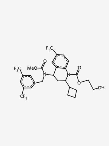 COC(=O)N(Cc1cc(C(F)(F)F)cc(C(F)(F)F)c1)C1CC(C2CCC2)N(C(=O)OCCO)c2ccc(C(F)(F)F)cc21